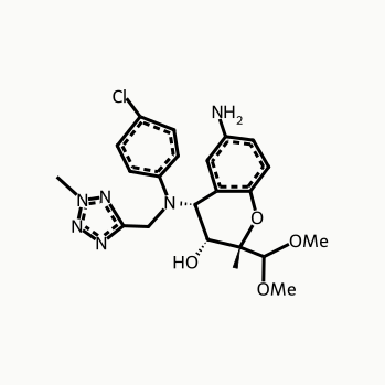 COC(OC)[C@@]1(C)Oc2ccc(N)cc2[C@@H](N(Cc2nnn(C)n2)c2ccc(Cl)cc2)[C@H]1O